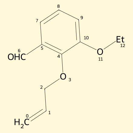 C=CCOc1c(C=O)cccc1OCC